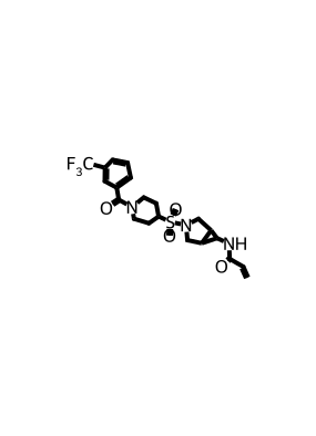 C=CC(=O)NC1C2CN(S(=O)(=O)C3CCN(C(=O)c4cccc(C(F)(F)F)c4)CC3)CC21